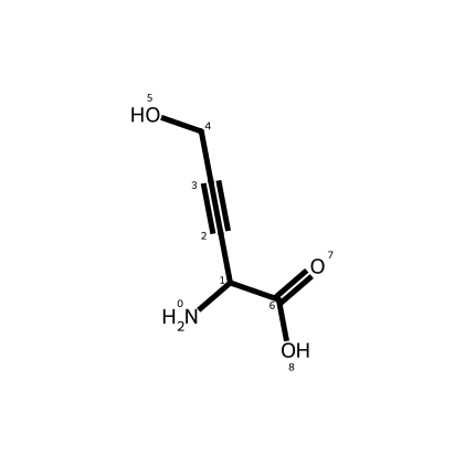 NC(C#CCO)C(=O)O